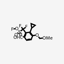 COCOc1ccc(C=O)c(C(F)(F)S(=O)(=O)OF)c1C1CC1